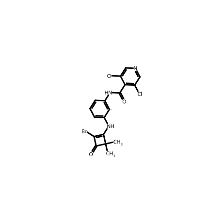 CC1(C)C(=O)C(Br)=C1Nc1[c]c(NC(=O)c2c(Cl)cncc2Cl)ccc1